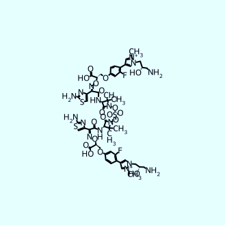 C[n+]1cc(-c2ccc(OC[C@H](O/N=C(\C(=O)N[C@@H]3C(=O)N(OS(=O)(=O)ON4C(=O)[C@@H](NC(=O)/C(=N\O[C@@H](COc5ccc(-c6cn(C[C@@H](O)CN)[n+](C)c6)c(F)c5)C(=O)O)c5csc(N)n5)C4(C)C)C3(C)C)c3csc(N)n3)C(=O)O)cc2F)cn1C[C@@H](O)CN